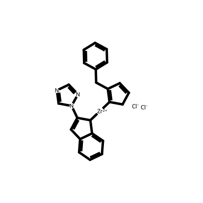 C1=CC(Cc2ccccc2)=[C]([Zr+2][CH]2C(n3cncn3)=Cc3ccccc32)C1.[Cl-].[Cl-]